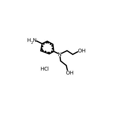 Cl.Nc1ccc(N(CCO)CCO)cc1